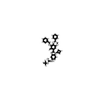 COc1cc(-c2nc3cc(NC(=O)OC(C)(C)C)ccc3n2C2CCC2)c(C)c(OCc2ccccc2)c1OCc1ccccc1